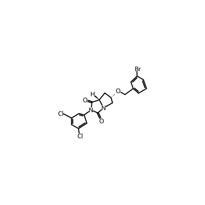 O=C1[C@@H]2C[C@H](OCc3cccc(Br)c3)CN2C(=O)N1c1cc(Cl)cc(Cl)c1